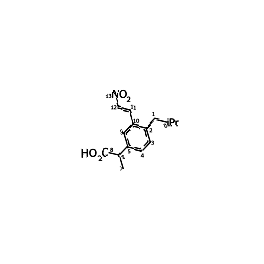 CC(C)Cc1ccc(C(C)C(=O)O)cc1C=C[N+](=O)[O-]